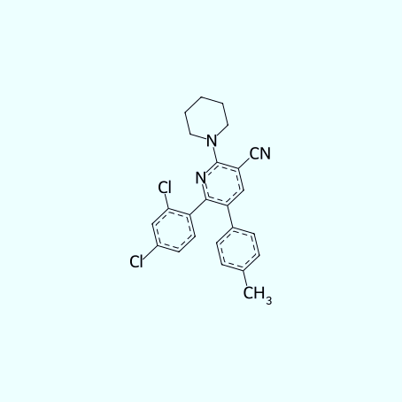 Cc1ccc(-c2cc(C#N)c(N3CCCCC3)nc2-c2ccc(Cl)cc2Cl)cc1